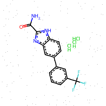 Cl.Cl.Cl.NC(=O)c1nc2cc(-c3cccc(C(F)(F)F)c3)ccc2[nH]1